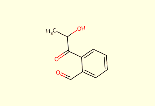 CC(O)C(=O)c1ccccc1C=O